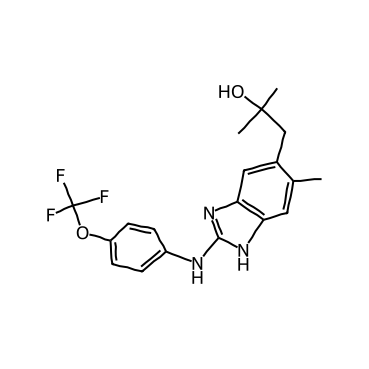 Cc1cc2[nH]c(Nc3ccc(OC(F)(F)F)cc3)nc2cc1CC(C)(C)O